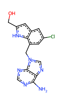 Nc1ncnc2c1ncn2Cc1cc(Cl)cc2cc(CO)[nH]c12